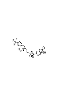 N[C@H](CCc1nc(-c2ccc3c(c2)CC(=O)N3)no1)Cc1ccc(C(F)(F)F)cc1